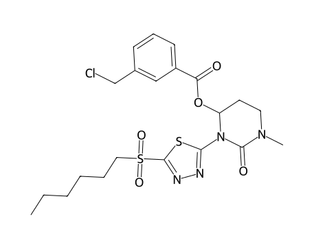 CCCCCCS(=O)(=O)c1nnc(N2C(=O)N(C)CCC2OC(=O)c2cccc(CCl)c2)s1